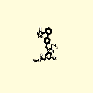 CCN1CN(CC(=O)OC)C=C2C1=NC(C)N2Cc1ccc(-c2ccccc2-c2nnn[nH]2)cc1